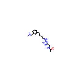 CC(=O)NCc1nc(NCCCCc2cccc(CN(C)C)c2)n(C)n1